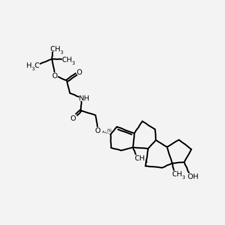 CC(C)(C)OC(=O)CNC(=O)CO[C@@H]1C=C2CCC3C(CCC4(C)C(O)CCC34)C2(C)CC1